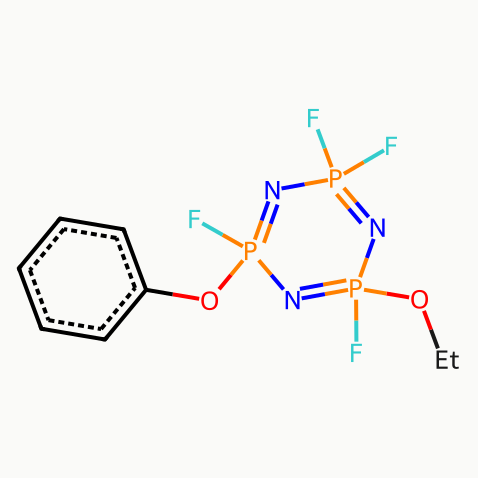 CCOP1(F)=NP(F)(Oc2ccccc2)=NP(F)(F)=N1